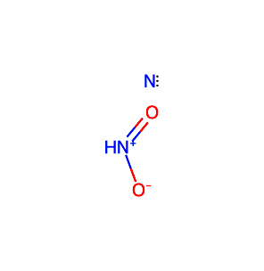 O=[NH+][O-].[N]